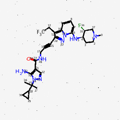 CN1CC[C@@H](Nc2cccc3c(CC(F)(F)F)c(C#CCNC(=O)c4cnn(C(C)(C)C5CC5)c4N)nn23)[C@@H](F)C1